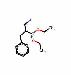 CCO[SiH](OCC)C(CI)Cc1ccccc1